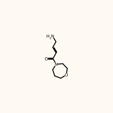 NC/C=C/C(=O)N1CCCOCC1